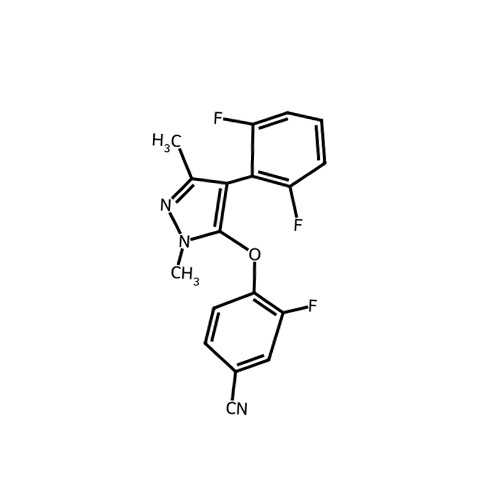 Cc1nn(C)c(Oc2ccc(C#N)cc2F)c1-c1c(F)cccc1F